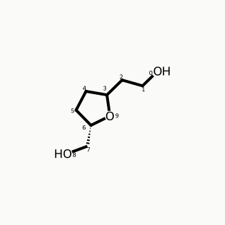 OCCC1CC[C@@H](CO)O1